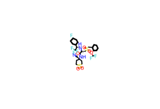 N#CC1(NC(=O)[C@H](CS(=O)(=O)Cc2ccccc2OC(F)F)N[C@@H](c2ccc(F)cc2)C(F)(F)F)CCS(=O)(=O)CC1